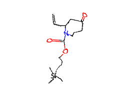 C=CC1CC(=O)CCN1C(=O)OCC[Si](C)(C)C